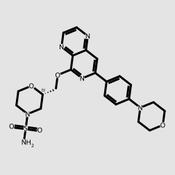 NS(=O)(=O)N1CCO[C@H](COc2nc(-c3ccc(N4CCOCC4)cc3)cc3nccnc23)C1